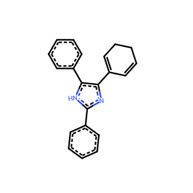 C1=CC(c2nc(-c3ccccc3)[nH]c2-c2ccccc2)=CCC1